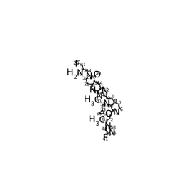 C[C@H](COc1nccc2cc(-c3nc4cc5c(nc4n3C)CCN(C[C@H](N)CF)C5=O)n(CC3CC3)c12)n1cnc(F)c1